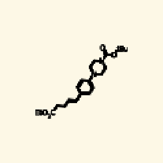 CCOC(=O)CC/C=C/c1ccc(N2CCN(C(=O)OC(C)(C)C)CC2)cc1